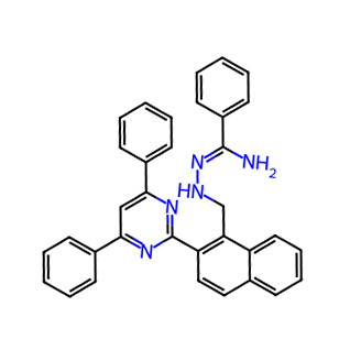 N/C(=N\NCc1c(-c2nc(-c3ccccc3)cc(-c3ccccc3)n2)ccc2ccccc12)c1ccccc1